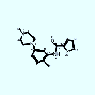 Cc1ccc(N2CCN(C)CC2)cc1NC(=O)c1cccs1